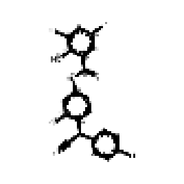 N#CC(c1ccc(Cl)cc1)c1ccc(NC(=O)c2cc(I)cc(I)c2O)cc1Cl